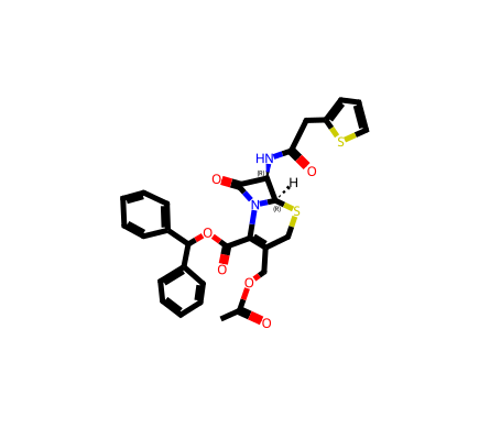 CC(=O)OCC1=C(C(=O)OC(c2ccccc2)c2ccccc2)N2C(=O)[C@@H](NC(=O)Cc3cccs3)[C@H]2SC1